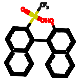 O=S(=O)(c1ccc2ccccc2c1-c1c(O)ccc2ccccc12)C(F)(F)F